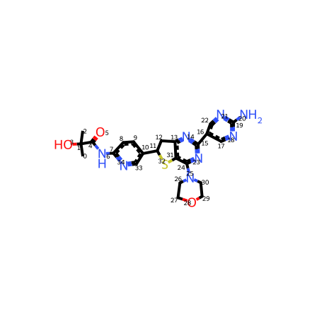 CC(C)(O)C(=O)Nc1ccc(C2Cc3nc(-c4cnc(N)nc4)nc(N4CCOCC4)c3S2)cn1